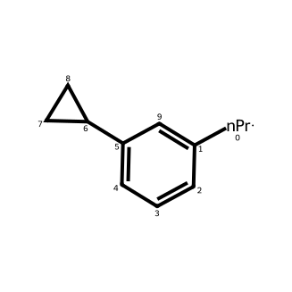 CC[CH]c1cccc(C2CC2)c1